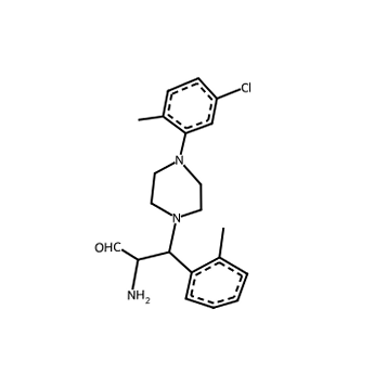 Cc1ccccc1C(C(N)C=O)N1CCN(c2cc(Cl)ccc2C)CC1